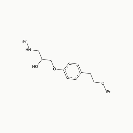 CC(C)NCC(O)COc1ccc(CCOC(C)C)cc1